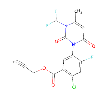 C#CCOC(=O)c1cc(-n2c(=O)cc(C)n(C(F)F)c2=O)c(F)cc1Cl